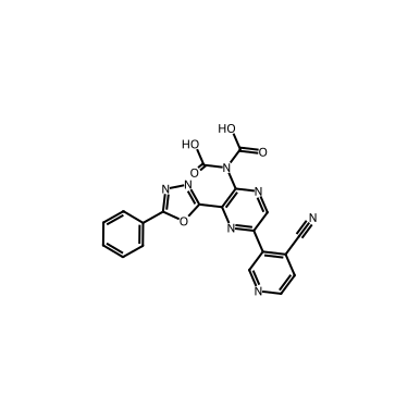 N#Cc1ccncc1-c1cnc(N(C(=O)O)C(=O)O)c(-c2nnc(-c3ccccc3)o2)n1